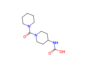 O=C(O)NC1CCN(C(=O)N2CCCCC2)CC1